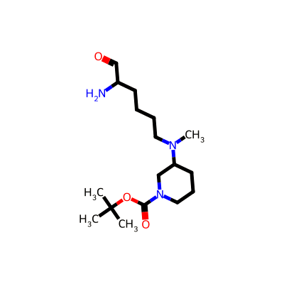 CN(CCCCC(N)C=O)C1CCCN(C(=O)OC(C)(C)C)C1